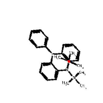 C[Si](C)(C)N(c1ccccc1P(c1ccccc1)c1ccccc1)[Si](C)(C)C